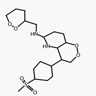 CS(=O)(=O)C1CCC(C2COOC3CCC(NCC4CCCOO4)NC32)CC1